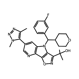 Cc1nnn(C)c1-c1cnc2c3onc(C(C)(C)O)c3n(C(c3cccc(F)c3)C3CCOCC3)c2c1